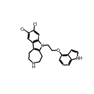 Clc1cc2c3c(n(CCOc4cccc5[nH]ccc45)c2cc1Cl)CCNCC3